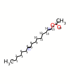 CCCCCC/C=C/CCCCCC/C=C/OC(C)=O